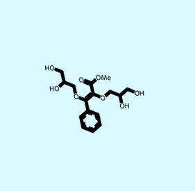 COC(=O)C(OCC(O)CO)=C(OCC(O)CO)c1ccccc1